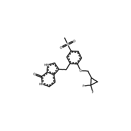 CS(=O)(=O)c1ccc(OCC2CC2(F)F)c(Cc2c[nH]c3c(=O)[nH]ccc23)c1